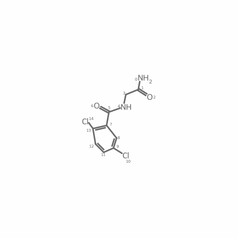 NC(=O)CNC(=O)c1cc(Cl)ccc1Cl